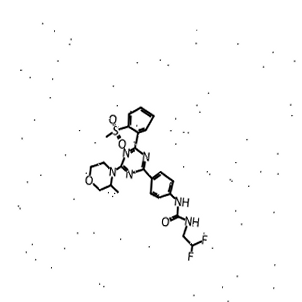 CC1COCCN1c1nc(-c2ccc(NC(=O)NCC(F)F)cc2)nc(-c2ccccc2S(C)(=O)=O)n1